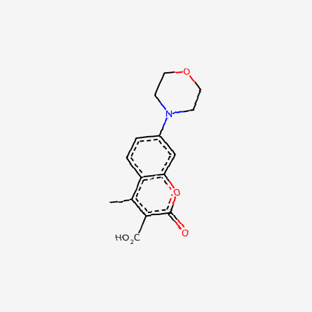 Cc1c(C(=O)O)c(=O)oc2cc(N3CCOCC3)ccc12